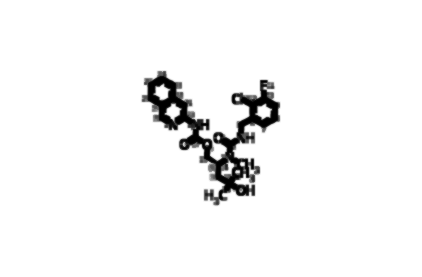 CN(C(=O)NCc1cccc(F)c1Cl)[C@H](COC(=O)Nc1cc2ccccc2cn1)CC(C)(C)O